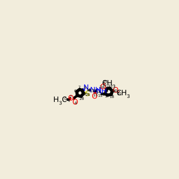 CCOC(=O)c1ccc2nc(NC(=O)NCc3ccc(OC)cc3OC)sc2c1